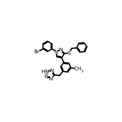 Cc1cc(Cc2nn[nH]n2)cc(-c2cn(-c3cccc(Br)c3)nc2SCc2ccccc2)c1